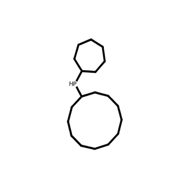 C1CCCCCC(PC2CCCCCC2)CCCCC1